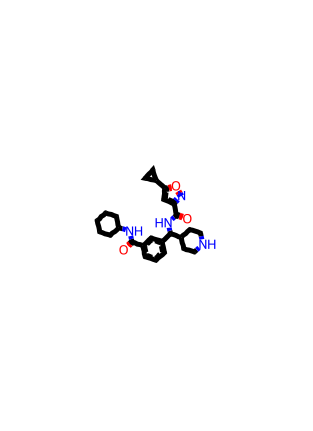 O=C(NC1CCCCC1)c1cccc(C(NC(=O)c2cc(C3CC3)on2)C2CCNCC2)c1